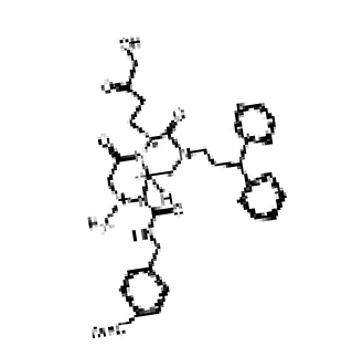 COc1ccc(CNC(=O)N2[C@H]3CN(CCC(c4ccccc4)c4ccccc4)C(=O)[C@H](CCC(=O)CO)N3C(=O)CN2C)cc1